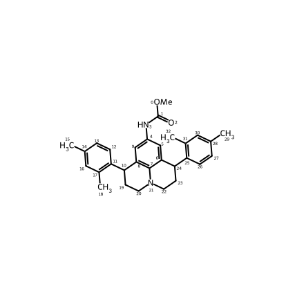 COC(=O)Nc1cc2c3c(c1)C(c1ccc(C)cc1C)CCN3CCC2c1ccc(C)cc1C